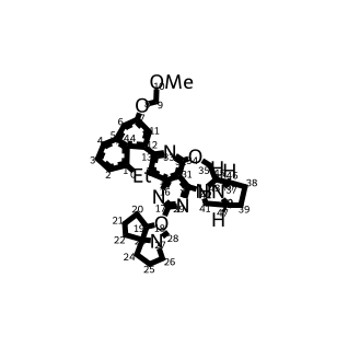 CCc1cccc2cc(OCOC)cc(-c3cc4nc(OC5CCCC56CCCN6C)nc5c4c(n3)OC[C@@H]3[C@@H]4CC[C@H](CN53)N4)c12